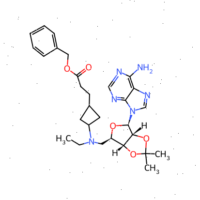 CCN(C[C@H]1O[C@@H](n2cnc3c(N)ncnc32)[C@@H]2OC(C)(C)O[C@@H]21)C1CC(CCC(=O)OCc2ccccc2)C1